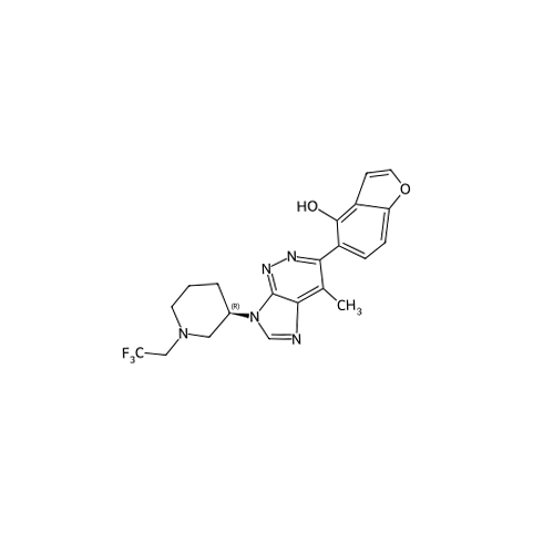 Cc1c(-c2ccc3occc3c2O)nnc2c1ncn2[C@@H]1CCCN(CC(F)(F)F)C1